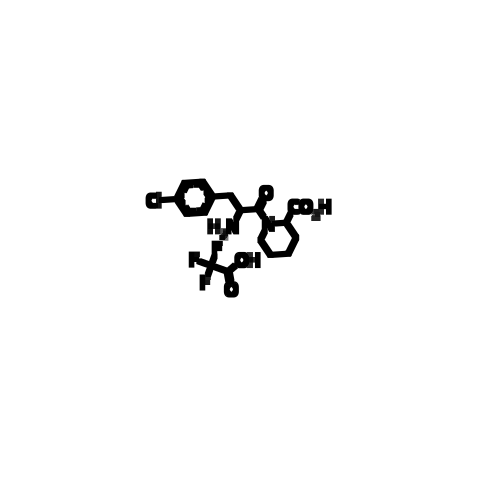 NC(Cc1ccc(Cl)cc1)C(=O)N1CCCCC1C(=O)O.O=C(O)C(F)(F)F